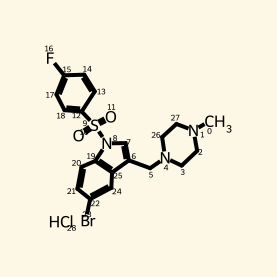 CN1CCN(Cc2cn(S(=O)(=O)c3ccc(F)cc3)c3ccc(Br)cc23)CC1.Cl